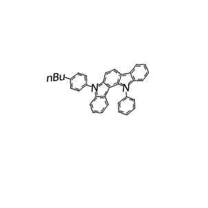 CCCCc1ccc(-n2c3ccccc3c3c2ccc2c4ccccc4n(-c4ccccc4)c23)cc1